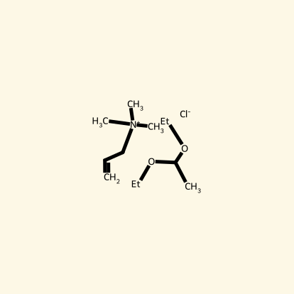 C=CC[N+](C)(C)C.CCOC(C)OCC.[Cl-]